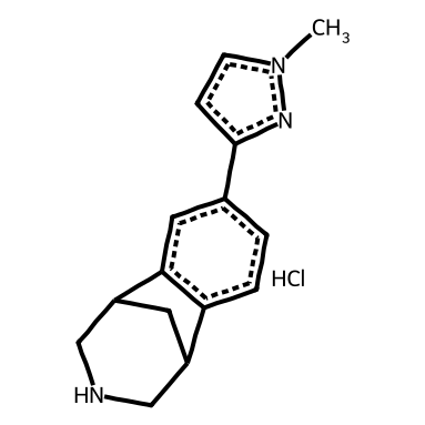 Cl.Cn1ccc(-c2ccc3c(c2)C2CNCC3C2)n1